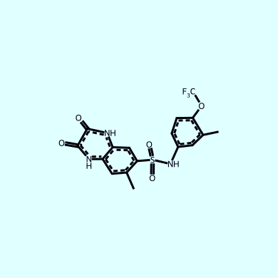 Cc1cc(NS(=O)(=O)c2cc3[nH]c(=O)c(=O)[nH]c3cc2C)ccc1OC(F)(F)F